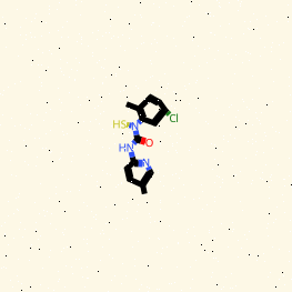 Cc1ccc(NC(=O)N(S)c2cc(Cl)ccc2C)nc1